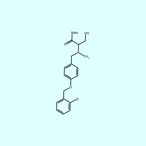 CNC(=O)C(CO)N(C)Cc1ccc(OCc2ccccc2Cl)cc1